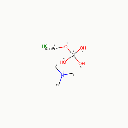 CCCO[Si](O)(O)O.CN(C)C.Cl